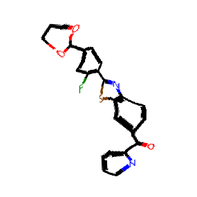 O=C(c1ccc2nc(-c3ccc(C4OCCCO4)cc3F)sc2c1)c1ccccn1